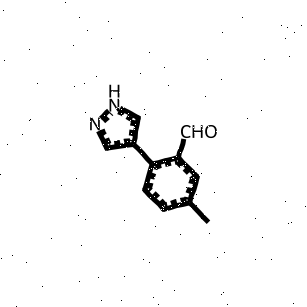 Cc1ccc(-c2cn[nH]c2)c(C=O)c1